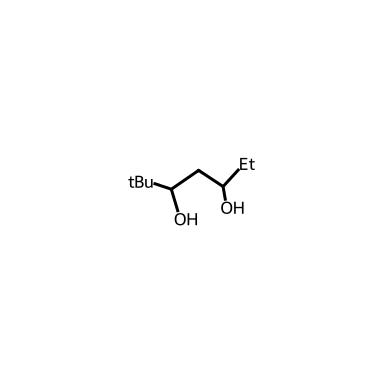 CCC(O)CC(O)C(C)(C)C